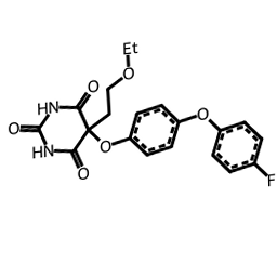 CCOCCC1(Oc2ccc(Oc3ccc(F)cc3)cc2)C(=O)NC(=O)NC1=O